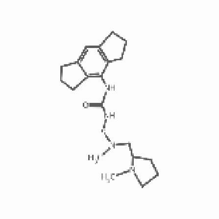 CN(CC1CCCN1C)SNC(=O)Nc1c2c(cc3c1CCC3)CCC2